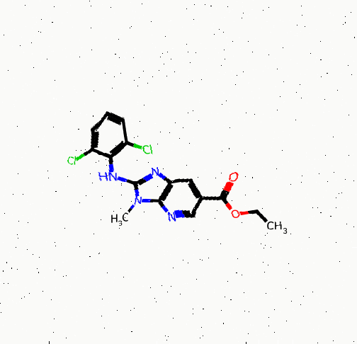 CCOC(=O)c1cnc2c(c1)nc(Nc1c(Cl)cccc1Cl)n2C